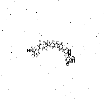 COc1cc(-c2cn(C)c(=O)c3[nH]ncc23)cc(F)c1CN1Cc2ccc(CN3CCC(c4ccc(NC5CCC(=O)NC5=O)cc4)CC3)cc2C1